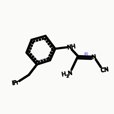 CC(C)Cc1cccc(N/C(N)=N/C#N)c1